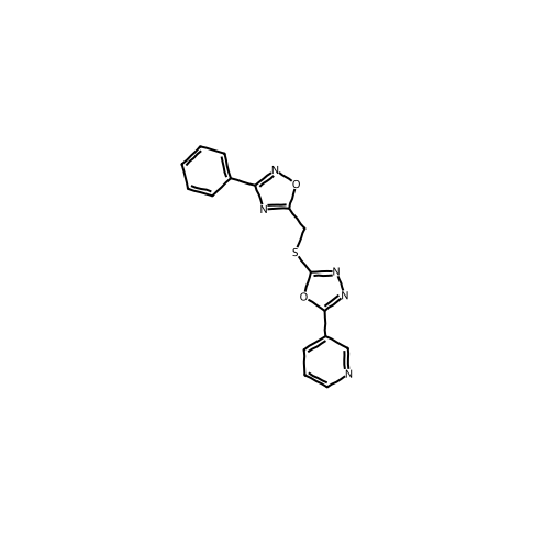 c1ccc(-c2noc(CSc3nnc(-c4cccnc4)o3)n2)cc1